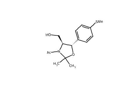 CSc1ccc([C@@H]2OC(C)(C)N(C(C)=O)[C@H]2CO)cc1